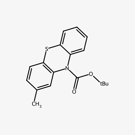 Cc1ccc2c(c1)N(C(=O)OC(C)(C)C)c1ccccc1S2